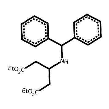 CCOC(=O)CC(CC(=O)OCC)NC(c1ccccc1)c1ccccc1